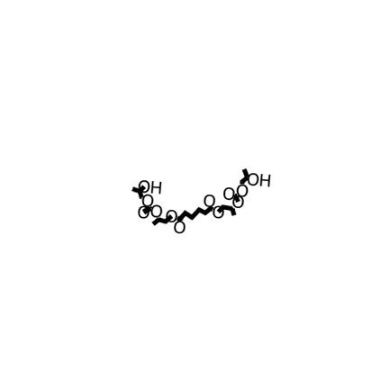 CC(O)COC(=O)OC(C)COC(=O)CCCCC(=O)OCC(C)OC(=O)OCC(C)O